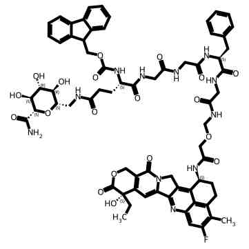 CC[C@@]1(O)C(=O)OCc2c1cc1n(c2=O)Cc2c-1nc1cc(F)c(C)c3c1c2[C@@H](NC(=O)COCNC(=O)CNC(=O)[C@H](Cc1ccccc1)NC(=O)CNC(=O)CNC(=O)[C@H](CCC(=O)NC[C@@H]1O[C@H](C(N)=O)[C@@H](O)[C@H](O)[C@H]1O)NC(=O)OCC1c2ccccc2-c2ccccc21)CC3